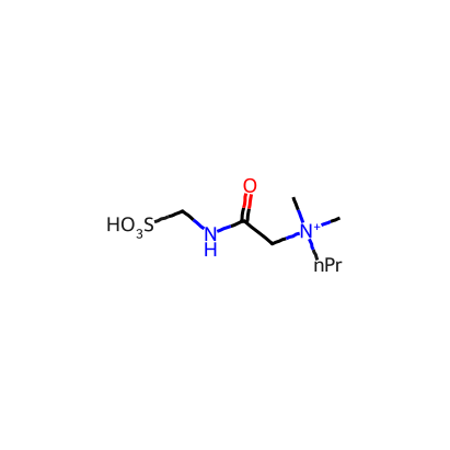 CCC[N+](C)(C)CC(=O)NCS(=O)(=O)O